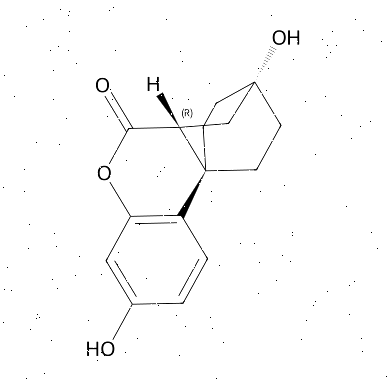 O=C1Oc2cc(O)ccc2[C@]23CC[C@](O)(CC2)C[C@@H]13